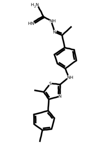 CC(=NNC(=N)N)c1ccc(Nc2nc(-c3ccc(C)cc3)c(C)s2)cc1